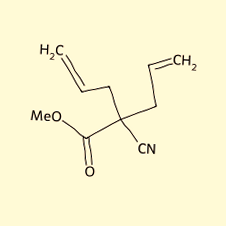 C=CCC(C#N)(CC=C)C(=O)OC